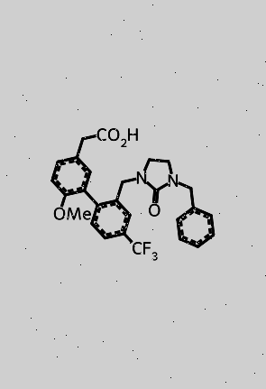 COc1ccc(CC(=O)O)cc1-c1ccc(C(F)(F)F)cc1CN1CCN(Cc2ccccc2)C1=O